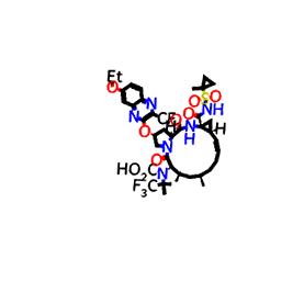 CCOc1ccc2nc(C(F)(F)F)c(O[C@@H]3C[C@H]4C(=O)N[C@]5(C(=O)NS(=O)(=O)C6(C)CC6)C[C@H]5/C=C\CC[C@@H](C)C[C@@H](C)[C@H](N(C(=O)O)C(C)(C)C(F)(F)F)C(=O)N4C3)nc2c1